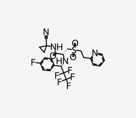 N#CC1(NC(=O)[C@H](CS(=O)(=O)CCc2ccccn2)N[C@@H](c2ccc(F)cc2)C(F)(F)C(F)(F)F)CC1